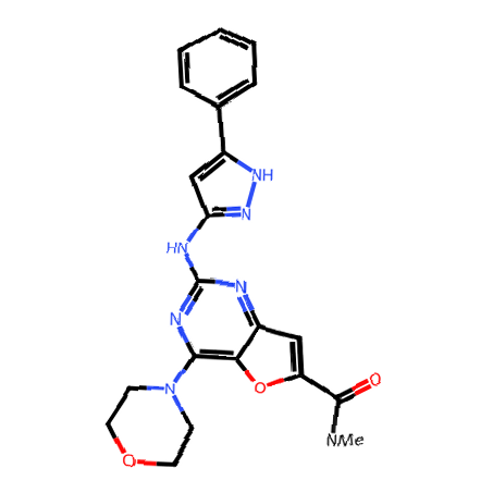 CNC(=O)c1cc2nc(Nc3cc(-c4ccccc4)[nH]n3)nc(N3CCOCC3)c2o1